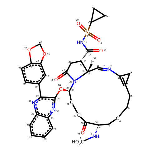 O=C(O)N[C@H]1CCCCC2=C(C2)/N=C\[C@H]2[C@@H](C(=O)NS(=O)(=O)C3CC3)CC(=O)N2[C@H](Oc2nc3ccccc3nc2-c2ccc3c(c2)OCO3)CCC1=O